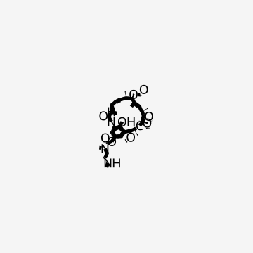 CNCCN(C)C(=O)Oc1cc2c(O)c(c1)[C@H](OC)[C@@H](C)C[C@H](OC)[C@H](OC)[C@@H](C)/C=C(\C)[C@H](OC=O)[C@@H](C)/C=C\C=C(/C)C(=O)N2